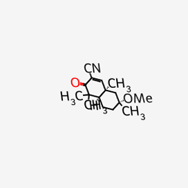 CO[C@]1(C)CC[C@H]2C(C)(C)C(=O)C(C#N)=C[C@@]2(C)C1